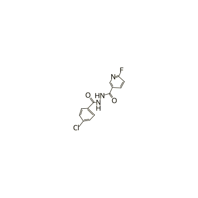 O=C(NNC(=O)c1ccc(F)nc1)c1ccc(Cl)cc1